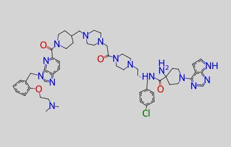 CN(C)CCOc1ccccc1Cn1cnc2ccc(C(=O)N3CCC(CN4CCN(CC(=O)N5CCN(CC[C@H](NC(=O)C6(N)CCN(c7ncnc8[nH]ccc78)CC6)c6ccc(Cl)cc6)CC5)CC4)CC3)nc21